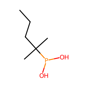 CCCC(C)(C)P(O)O